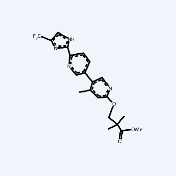 COC(=O)C(C)(C)COc1cc(C)c(-c2ccc(-c3nc(C(F)(F)F)c[nH]3)nc2)cn1